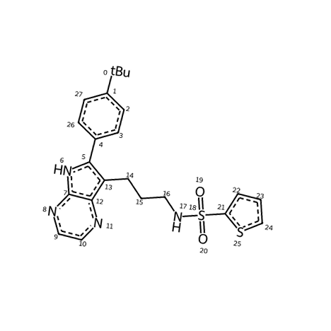 CC(C)(C)c1ccc(-c2[nH]c3nccnc3c2CCCNS(=O)(=O)c2cccs2)cc1